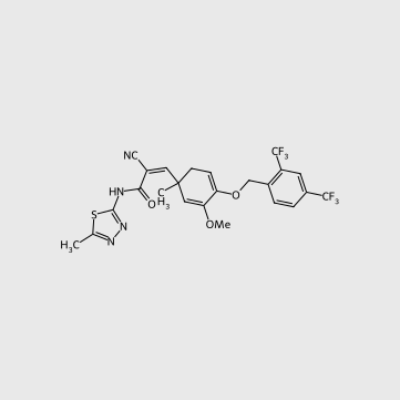 COC1=CC(C)(/C=C(/C#N)C(=O)Nc2nnc(C)s2)CC=C1OCc1ccc(C(F)(F)F)cc1C(F)(F)F